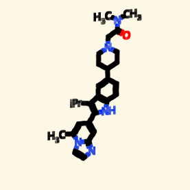 Cc1cc(-c2[nH]c3ccc(C4CCN(CC(=O)N(C)C)CC4)cc3c2C(C)C)cc2nccn12